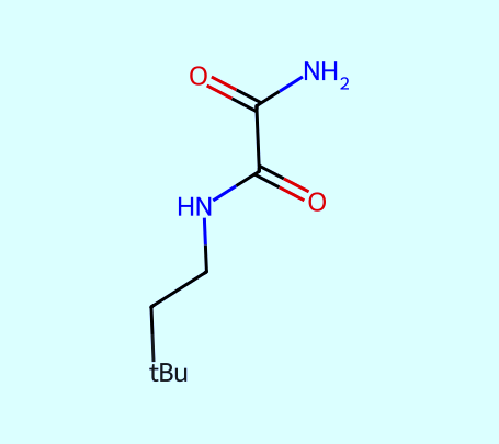 CC(C)(C)CCNC(=O)C(N)=O